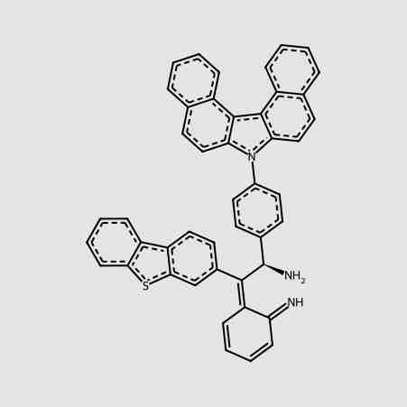 N=C1C=CC=C/C1=C(\c1ccc2c(c1)sc1ccccc12)[C@H](N)c1ccc(-n2c3ccc4ccccc4c3c3c4ccccc4ccc32)cc1